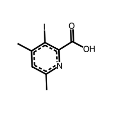 Cc1cc(C)c(I)c(C(=O)O)n1